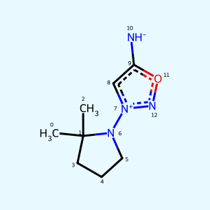 CC1(C)CCCN1[n+]1cc([NH-])on1